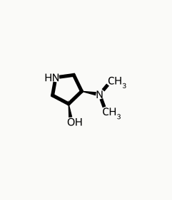 CN(C)[C@@H]1CNC[C@@H]1O